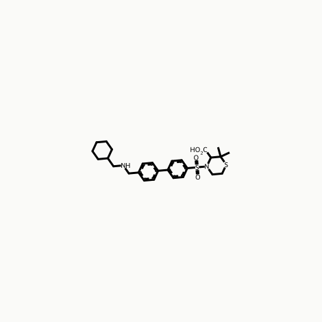 CC1(C)SCCN(S(=O)(=O)c2ccc(-c3ccc(CNCC4CCCCC4)cc3)cc2)C1C(=O)O